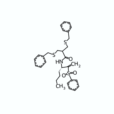 C=C([C@H](CCCC)NC(=O)C(CSCc1ccccc1)CSCc1ccccc1)S(=O)(=O)c1ccccc1